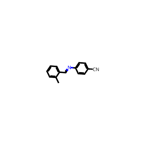 Cc1ccccc1/C=N/c1ccc(C#N)cc1